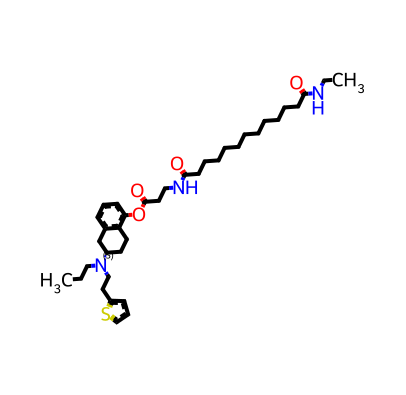 CCCN(CCc1cccs1)[C@H]1CCc2c(cccc2OC(=O)CCNC(=O)CCCCCCCCCCCC(=O)NCC)C1